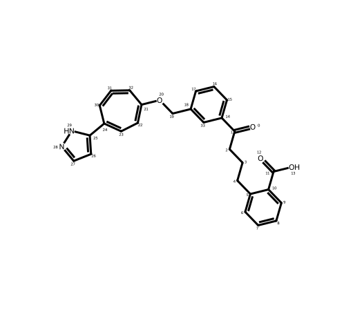 O=C(CCCc1ccccc1C(=O)O)c1cccc(COC2=CC=C(c3ccn[nH]3)C=C=C2)c1